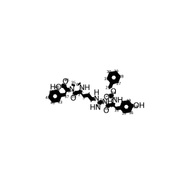 CN[C@@H](CCCNC(=N)NC(=O)[C@H](Cc1ccc(O)cc1)NC(=O)OCc1ccccc1)C(=O)N(C)[C@@H](Cc1ccccc1)C(=O)O